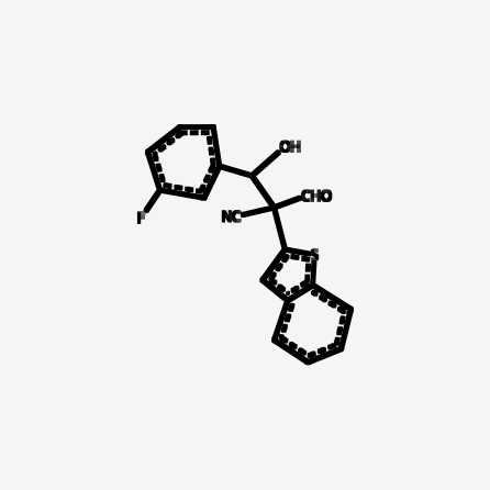 N#CC(C=O)(c1cc2ccccc2s1)C(O)c1cccc(F)c1